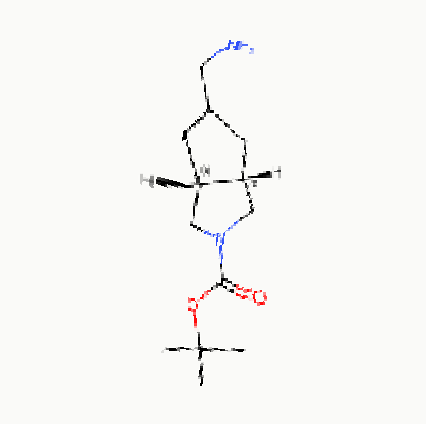 CC(C)(C)OC(=O)N1C[C@H]2CC(CN)C[C@H]2C1